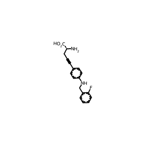 N[C@@H](CC#Cc1ccc(NCc2ccccc2F)cc1)C(=O)O